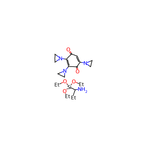 CCO[Si](OCC)(OCC)C(N)CC.O=C1C=C(N2CC2)C(=O)C(N2CC2)=C1N1CC1